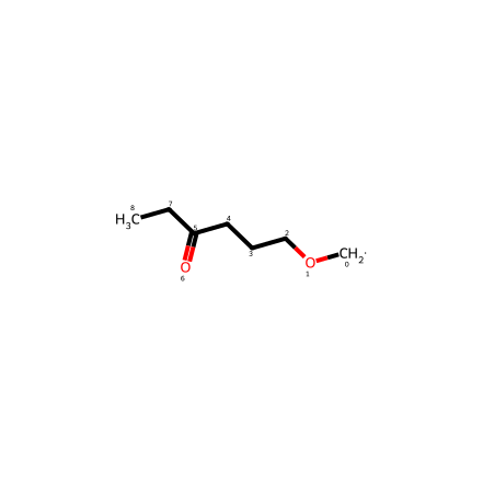 [CH2]OCCCC(=O)CC